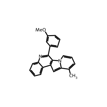 COc1cccc(-c2nc3ccccc3c3cc4c(C)cccn4c23)c1